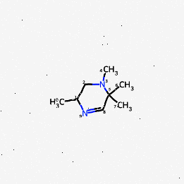 CC1CN(C)C(C)(C)C=N1